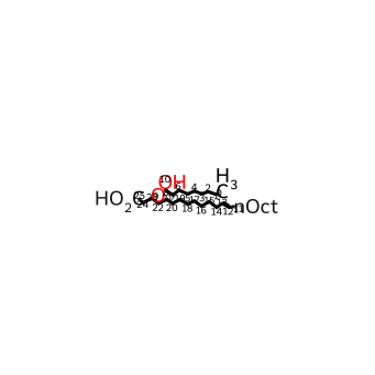 CCCCCCCCC(=O)O.CCCCCCCCC=CCCCCCCCCCCCC(=O)O